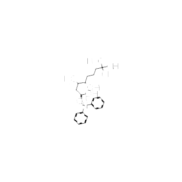 CC(CC(O)O[SiH](c1ccccc1)c1ccccc1)C(O)CCCC(C)(C)C